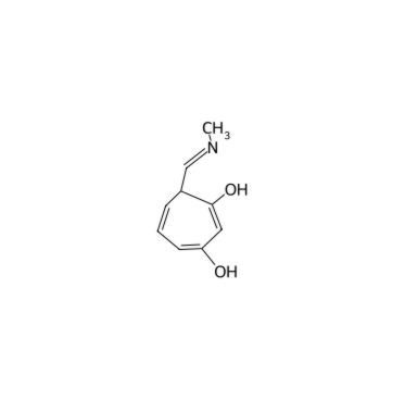 C/N=C/C1C=CC=C(O)C=C1O